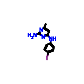 Cc1cc(Nc2ccc(I)cc2)nc(N)n1